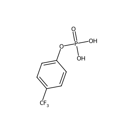 O=P(O)(O)Oc1ccc(C(F)(F)F)cc1